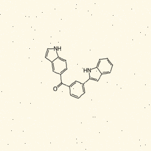 O=C(c1cccc(-c2cc3ccccc3[nH]2)c1)c1ccc2[nH]ccc2c1